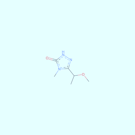 COC(C)c1n[nH]c(=O)n1C